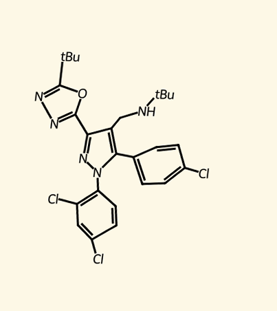 CC(C)(C)NCc1c(-c2nnc(C(C)(C)C)o2)nn(-c2ccc(Cl)cc2Cl)c1-c1ccc(Cl)cc1